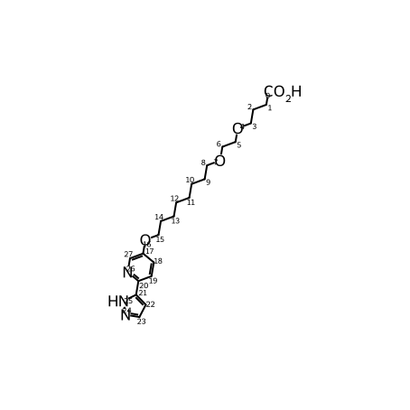 O=C(O)CCCOCCOCCCCCCCCOc1ccc(-c2ccn[nH]2)nc1